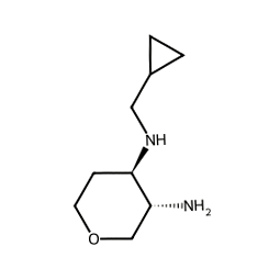 N[C@@H]1COCC[C@H]1NCC1CC1